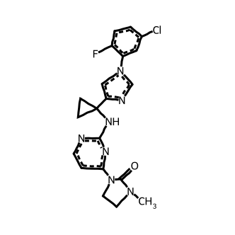 CN1CCN(c2ccnc(NC3(c4cn(-c5cc(Cl)ccc5F)cn4)CC3)n2)C1=O